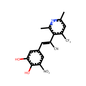 Cc1cc(C(F)(F)F)c(/C(C#N)=C/c2cc(O)c(O)c([N+](=O)[O-])c2)c(C)n1